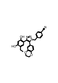 CCc1cc(-c2nnn(Cc3ccc(C#N)cc3)c2-c2ccc3c(c2)OCCO3)c(O)cc1O